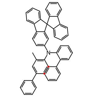 Cc1cc(-c2ccccc2)ccc1N(c1ccc2c(c1)C1(c3ccccc3-c3ccccc31)c1ccccc1-2)c1ccccc1-c1ccccc1